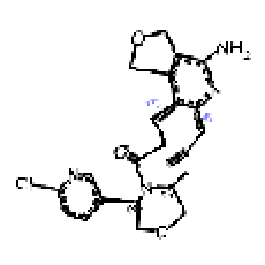 C#C/C=c1/nc(N)c2c(/c1=C/CC(=O)N1[C@@H](C)COC[C@H]1c1ccc(Cl)nc1)COC2